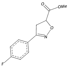 COC(=O)C1CC(c2ccc(F)cc2)=NO1